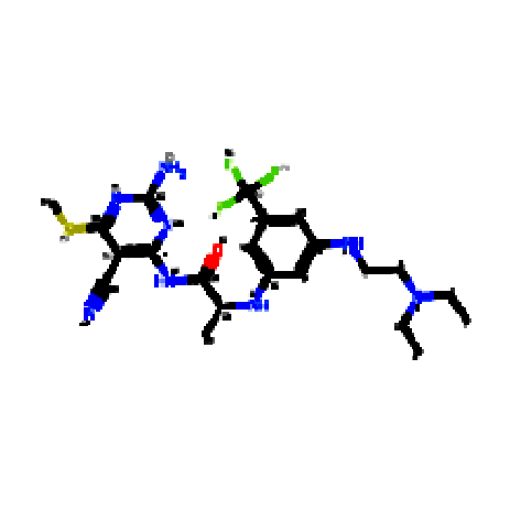 CCN(CC)CCNc1cc(N[C@@H](C)C(=O)Nc2nc(N)nc(SC)c2C#N)cc(C(F)(F)F)c1